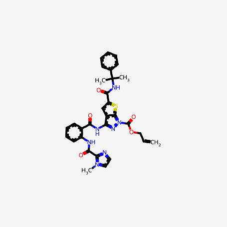 C=CCOC(=O)n1nc(NC(=O)c2ccccc2NC(=O)c2nccn2C)c2cc(C(=O)NC(C)(C)c3ccccc3)sc21